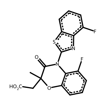 CC1(CC(=O)O)Oc2cccc(F)c2N(c2nc3c(F)cccc3s2)C1=O